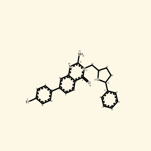 CCc1ccc(-c2ccc3c(=O)n(CC4CCC(c5ccccc5)O4)c(N)nc3c2)cc1